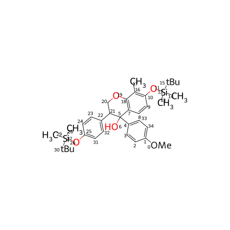 COc1ccc(C2(O)c3ccc(O[Si](C)(C)C(C)(C)C)c(C)c3OCC2c2ccc(O[Si](C)(C)C(C)(C)C)cc2)cc1